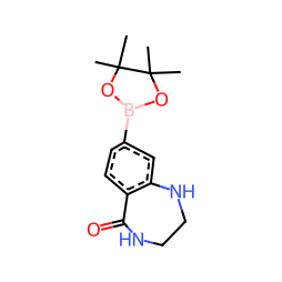 CC1(C)OB(c2ccc3c(c2)NCCNC3=O)OC1(C)C